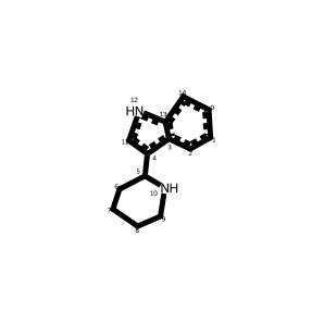 c1ccc2c(C3CCCCN3)c[nH]c2c1